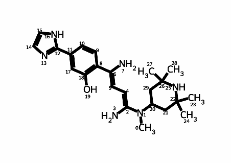 CN(/C(N)=C/C=C(\N)c1ccc(-c2ncc[nH]2)cc1O)C1CC(C)(C)NC(C)(C)C1